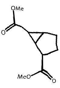 COC(=O)C1CCC2C(C(=O)OC)C12